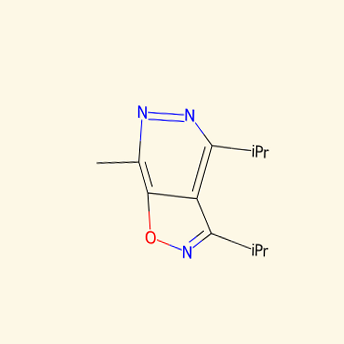 Cc1nnc(C(C)C)c2c(C(C)C)noc12